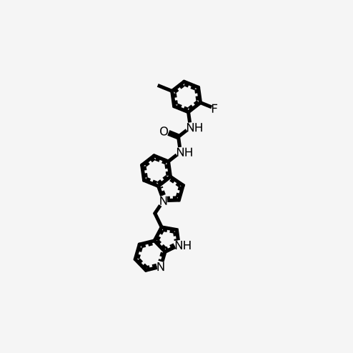 Cc1ccc(F)c(NC(=O)Nc2cccc3c2ccn3Cc2c[nH]c3ncccc23)c1